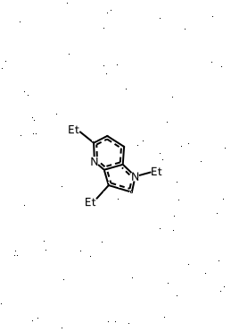 CCc1ccc2c(n1)c(CC)cn2CC